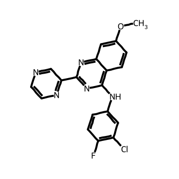 COc1ccc2c(Nc3ccc(F)c(Cl)c3)nc(-c3cnccn3)nc2c1